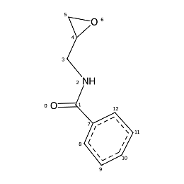 O=C(NCC1CO1)c1ccccc1